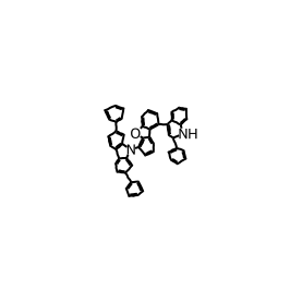 C1=C(c2cccc3oc4c(-n5c6cc(-c7ccccc7)ccc6c6ccc(-c7ccccc7)cc65)cccc4c23)c2ccccc2NC1c1ccccc1